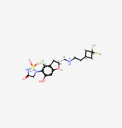 O=C1CN(c2c(O)cc3c(c2F)C[C@H](CNCCC2CC(F)(F)C2)O3)S(=O)(=O)N1